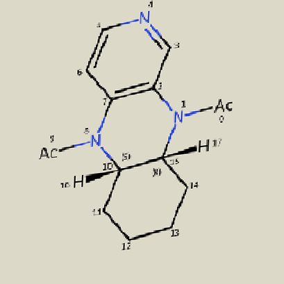 CC(=O)N1c2cnccc2N(C(C)=O)[C@H]2CCCC[C@H]21